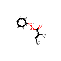 CCC=C(CC)C(=O)OOc1ccccc1